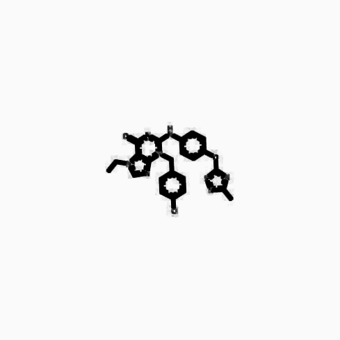 CCn1cnc2c1c(=O)nc(Nc1ccc(Oc3nc(C)ns3)cc1)n2Cc1ccc(Cl)cc1